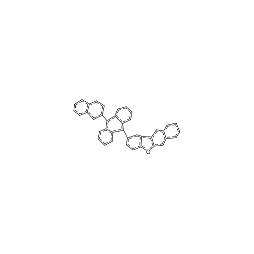 c1ccc2cc(-c3c4ccccc4c(-c4ccc5oc6cc7ccccc7cc6c5c4)c4ccccc34)ccc2c1